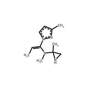 C/C=C(\N(C)C1(C)CN1)n1ccc(C)n1